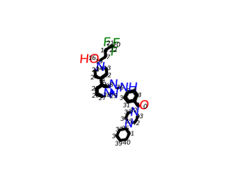 O=C(c1ccc(Nc2nc3c(C4=CCN(C(O)CCC(F)(F)F)CC4)cccn3n2)cc1)N1CCN(C2CCCCC2)CC1